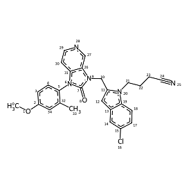 COc1ccc(-n2c(=O)n(Cc3cc4cc(Cl)ccc4n3CCCC#N)c3cnccc32)c(C)c1